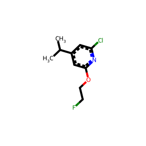 CC(C)c1cc(Cl)nc(OCCF)c1